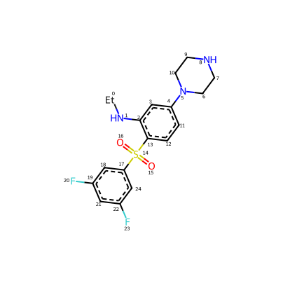 CCNc1cc(N2CCNCC2)ccc1S(=O)(=O)c1cc(F)cc(F)c1